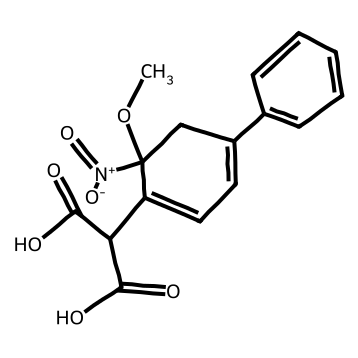 COC1([N+](=O)[O-])CC(c2ccccc2)=CC=C1C(C(=O)O)C(=O)O